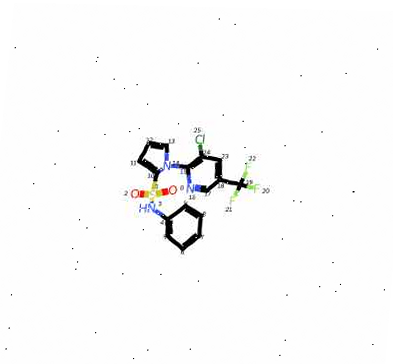 O=S(=O)(Nc1ccccc1)c1cccn1-c1ncc(C(F)(F)F)cc1Cl